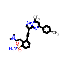 CN(C)CCc1c(C#Cc2cnn3c(C(F)(F)F)cc(-c4ccc(C(F)(F)F)cc4)nc23)cccc1S(N)(=O)=O